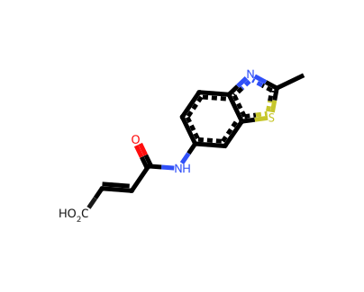 Cc1nc2ccc(NC(=O)C=CC(=O)O)cc2s1